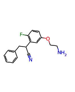 N#CC(Cc1ccccc1)c1cc(OCCN)ccc1F